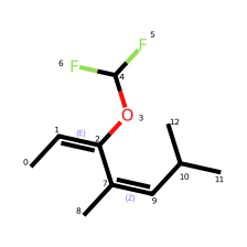 C/C=C(OC(F)F)\C(C)=C/C(C)C